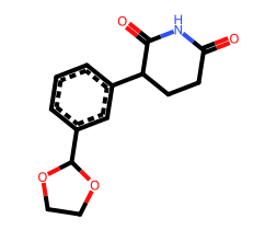 O=C1CCC(c2cccc(C3OCCO3)c2)C(=O)N1